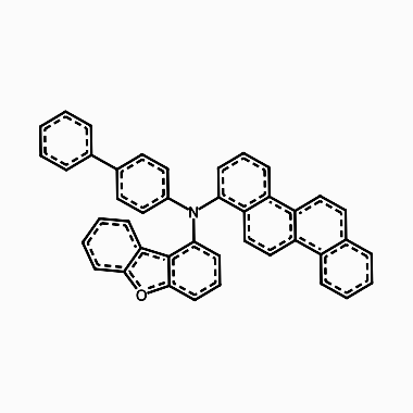 c1ccc(-c2ccc(N(c3cccc4c3ccc3c5ccccc5ccc43)c3cccc4oc5ccccc5c34)cc2)cc1